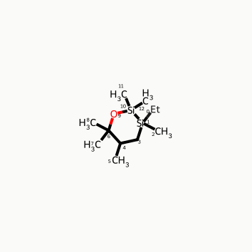 CC[Si]1(C)CC(C)C(C)(C)O[Si]1(C)C